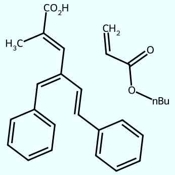 C=CC(=O)OCCCC.CC(=CC(C=Cc1ccccc1)=Cc1ccccc1)C(=O)O